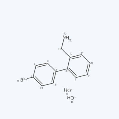 [B+2]c1ccc(-c2ccccc2CN)cc1.[OH-].[OH-]